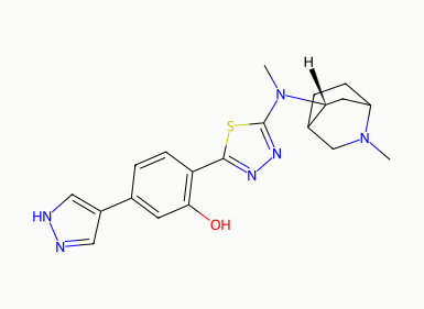 CN1CC2CCC1C[C@H]2N(C)c1nnc(-c2ccc(-c3cn[nH]c3)cc2O)s1